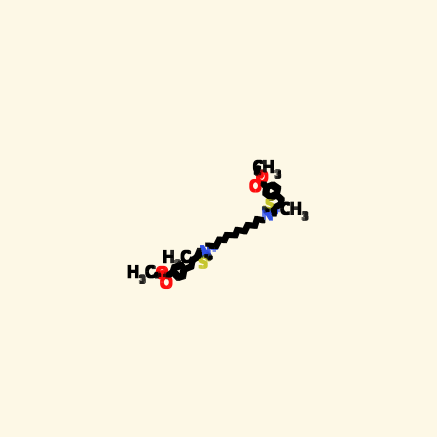 CCOC(=O)c1ccc(CC(C)c2c[n+](CCCCCCCCCCCC[n+]3csc(C(C)Cc4ccc(C(=O)OCC)cc4)c3)cs2)cc1